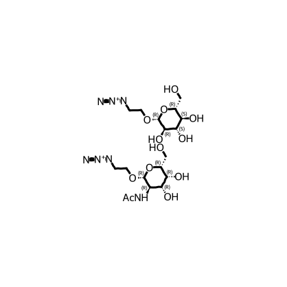 CC(=O)N[C@H]1[C@H](OCCN=[N+]=[N-])O[C@H](CO)[C@H](O)[C@@H]1O.[N-]=[N+]=NCCO[C@@H]1O[C@H](CO)[C@@H](O)[C@H](O)[C@H]1O